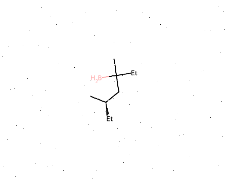 BC(C)(CC)C[C@H](C)CC